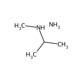 CNC(C)C.N